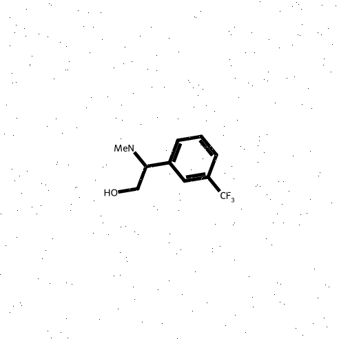 CNC(CO)c1cccc(C(F)(F)F)c1